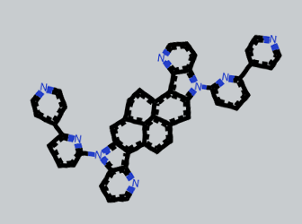 c1cc(-c2ccncc2)nc(-n2c3cccnc3c3c4ccc5cc6c(c7ccc(cc32)c4c57)c2ncccc2n6-c2cccc(-c3ccncc3)n2)c1